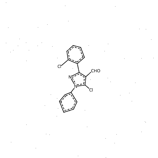 O=Cc1c(-c2ccccc2Cl)nn(-c2ccccc2)c1Cl